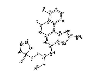 CCOP(=O)(OCC)OC[C@@H](CC(C)C)Nc1nc(SC(C)c2ncccc2F)nc2nc(N)sc12